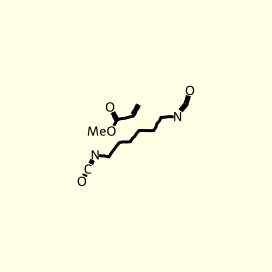 C=CC(=O)OC.O=C=NCCCCCCN=C=O